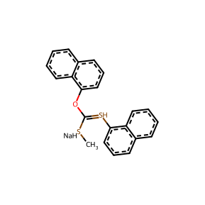 CSC(Oc1cccc2ccccc12)=[SH]c1cccc2ccccc12.[NaH]